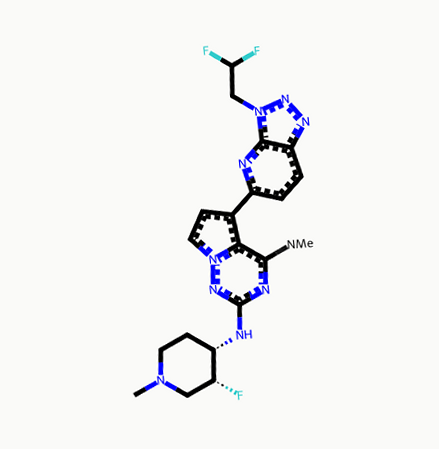 CNc1nc(N[C@H]2CCN(C)C[C@H]2F)nn2ccc(-c3ccc4nnn(CC(F)F)c4n3)c12